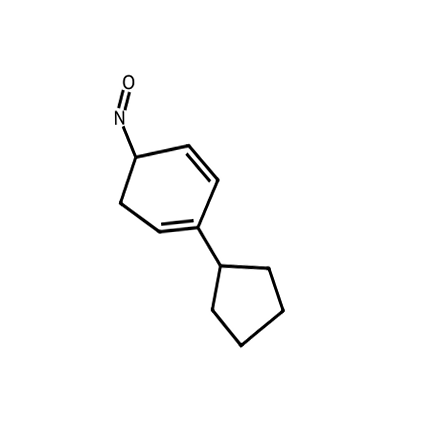 O=NC1C=CC(C2CCCC2)=CC1